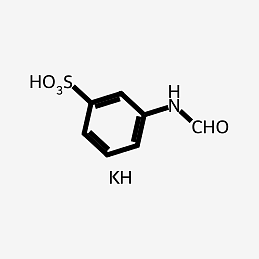 O=CNc1cccc(S(=O)(=O)O)c1.[KH]